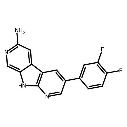 Nc1cc2c(cn1)[nH]c1ncc(-c3ccc(F)c(F)c3)cc12